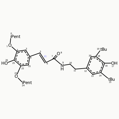 CCCC(C)Oc1cc(/C=C/C(=O)NCCc2cc(C(C)(C)C)c(O)c(C(C)(C)C)c2)cc(OC(C)CCC)c1O